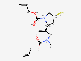 C=CCOC(=O)N(C)CC(=C)[C@@H]1C[C@H](S)CN1C(=O)OCC=C